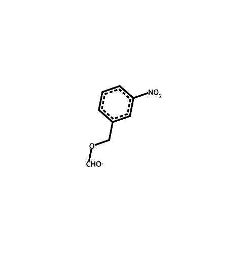 O=[C]OCc1cccc([N+](=O)[O-])c1